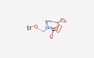 CCOCn1ccc(=O)oc1=O